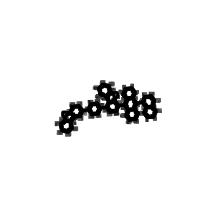 c1ccc2c(-c3c4ccccc4c(-c4ccc(-c5ccc(-c6ccc7oc8ccccc8c7c6)cc5)c5c4oc4ccccc45)c4ccccc34)cccc2c1